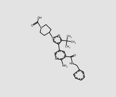 CC(C)(C)c1nn(C2CCN(C(=O)O)CC2)cc1-c1cnc(N)c(C(=O)NCc2ccccc2)c1